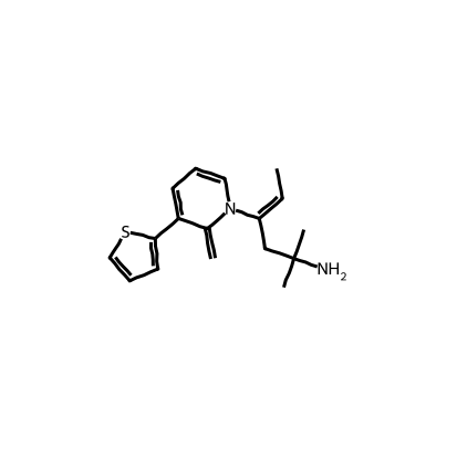 C=C1C(c2cccs2)=CC=CN1/C(=C\C)CC(C)(C)N